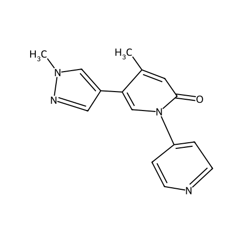 Cc1cc(=O)n(-c2ccncc2)cc1-c1cnn(C)c1